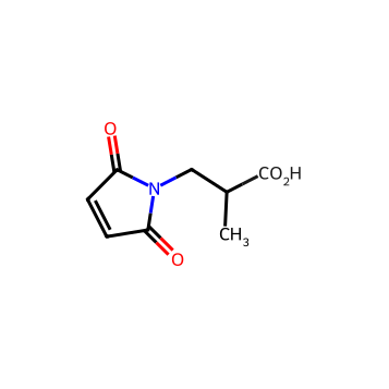 CC(CN1C(=O)C=CC1=O)C(=O)O